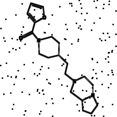 O=C(c1ccco1)N1CCC(CCN2CCN3CCCC3C2)CC1